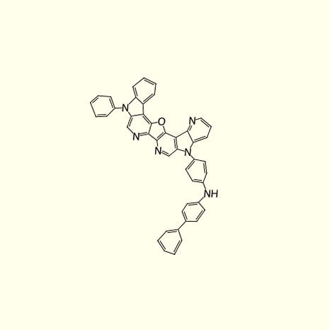 c1ccc(-c2ccc(Nc3ccc(-n4c5cccnc5c5c6oc7c(ncc8c7c7ccccc7n8-c7ccccc7)c6ncc54)cc3)cc2)cc1